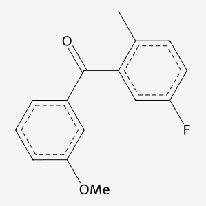 COc1cccc(C(=O)c2cc(F)ccc2C)c1